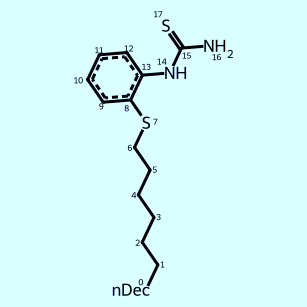 CCCCCCCCCCCCCCCCSc1ccccc1NC(N)=S